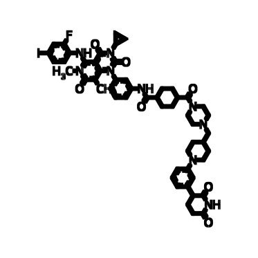 Cc1c(=O)n(C)c(Nc2ccc(I)cc2F)c2c(=O)n(C3CC3)c(=O)n(-c3cccc(NC(=O)C4CCC(C(=O)N5CCN(CC6CCN(c7cccc(C8CCC(=O)NC8=O)c7)CC6)CC5)CC4)c3)c12